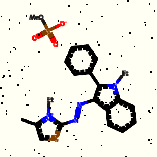 CCn1c(-c2ccccc2)c(N=Nc2scc(C)[n+]2CC)c2ccccc21.COS(=O)(=O)[O-]